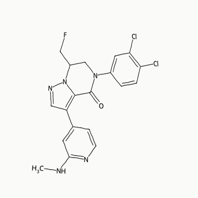 CNc1cc(-c2cnn3c2C(=O)N(c2ccc(Cl)c(Cl)c2)CC3CF)ccn1